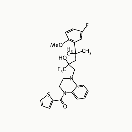 COc1ccc(F)cc1C(C)(C)CC(O)(CN1CCN(C(=O)c2cccs2)c2ccccc21)C(F)(F)F